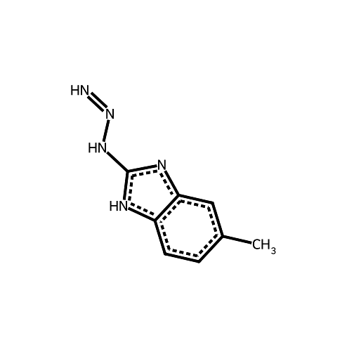 Cc1ccc2[nH]c(NN=N)nc2c1